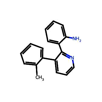 Cc1ccccc1-c1cccnc1-c1ccccc1N